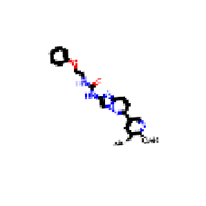 COc1cc(-c2ccc3nc(NC(=O)NCCOc4ccccc4)cn3n2)cnc1OC